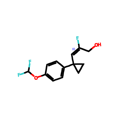 OC/C(F)=C\C1(c2ccc(OC(F)F)cc2)CC1